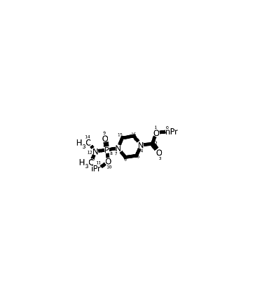 CCCOC(=O)N1CCN(P(=O)(OC(C)C)N(C)C)CC1